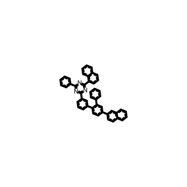 c1ccc(-c2nc(-c3cccc(-c4ccc(-c5ccc6ccccc6c5)cc4-c4ccccc4)c3)nc(-c3cccc4ccccc34)n2)cc1